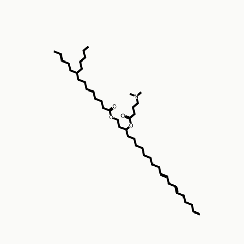 CCCCCC=CCC=CCCCCCCCCC(CCOC(=O)CCCCCCCC(CCCCC)CCCCC)OC(=O)CCCN(C)C